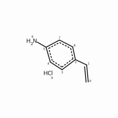 C=Cc1ccc(N)cc1.Cl